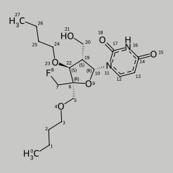 CCCCOC[C@@]1(CF)O[C@@H](n2ccc(=O)[nH]c2=O)[C@@H](CO)[C@@H]1OCCCC